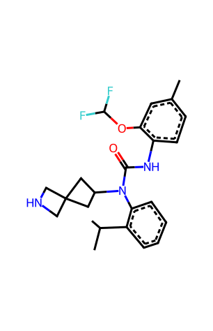 Cc1ccc(NC(=O)N(c2ccccc2C(C)C)C2CC3(CNC3)C2)c(OC(F)F)c1